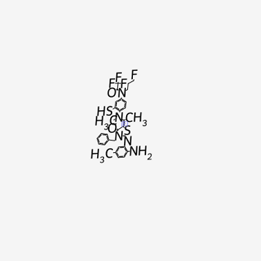 C/C(=C1\SC(=Nc2cc(C)ccc2N)N(Cc2ccccc2)C1=O)N(C)c1ccc(N(CCCF)C(=O)C(F)(F)F)cc1S